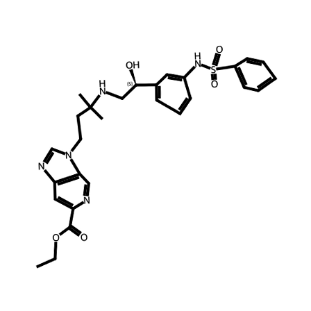 CCOC(=O)c1cc2ncn(CCC(C)(C)NC[C@@H](O)c3cccc(NS(=O)(=O)c4ccccc4)c3)c2cn1